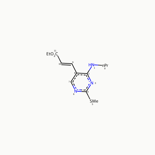 CCCNc1nc(SC)ncc1/C=C/C(=O)OCC